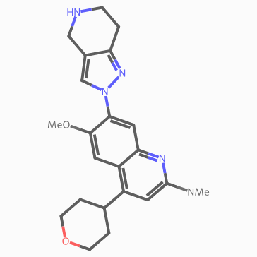 CNc1cc(C2CCOCC2)c2cc(OC)c(-n3cc4c(n3)CCNC4)cc2n1